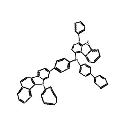 c1ccc(-c2ccc(N(c3ccc(-c4ccc5c6ccc7ccccc7c6n(-c6ccccc6)c5c4)cc3)c3ccc(-c4ccccc4)c4sc5ccccc5c34)cc2)cc1